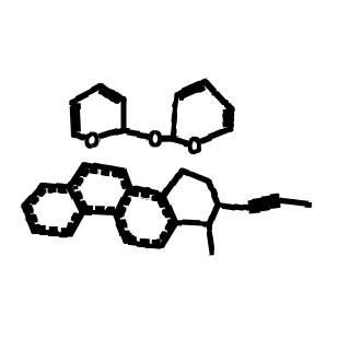 C1=COC(OC2C=CC=CO2)C=C1.CC#CC1CCc2c(ccc3c2ccc2ccccc23)C1C